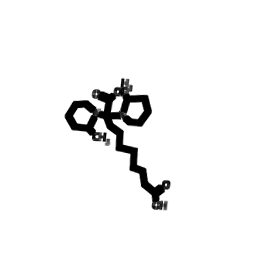 CC1CCCCN1C(CCCCCCCC(=O)O)(C(=O)O)N1CCCCC1C